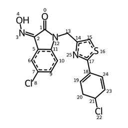 O=C1/C(=N\O)c2cc(Cl)ccc2N1Cc1csc(C2=CCC(Cl)C=C2)n1